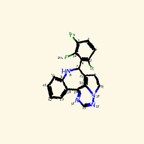 Fc1ccc(F)c(C2Nc3ccccc3-c3ncnn4ccc2c34)c1F